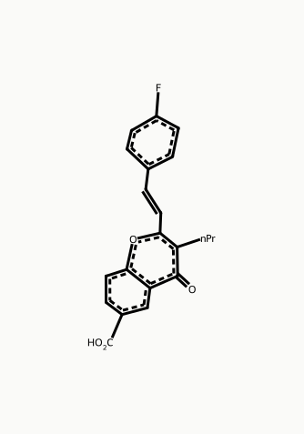 CCCc1c(/C=C/c2ccc(F)cc2)oc2ccc(C(=O)O)cc2c1=O